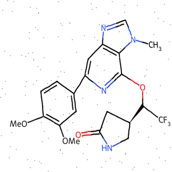 COc1ccc(-c2cc3ncn(C)c3c(OC([C@H]3CNC(=O)C3)C(F)(F)F)n2)cc1OC